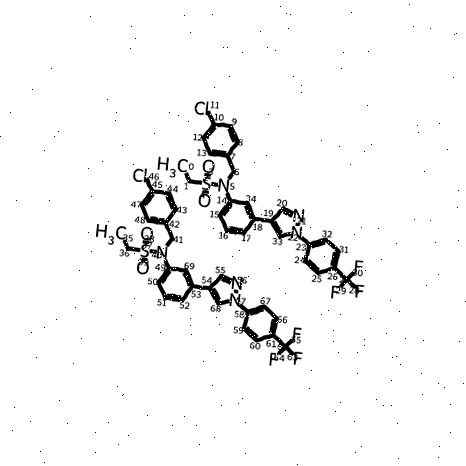 CCS(=O)(=O)N(Cc1ccc(Cl)cc1)c1cccc(-c2cnn(-c3ccc(C(F)(F)F)cc3)c2)c1.CCS(=O)(=O)N(Cc1ccc(Cl)cc1)c1cccc(-c2cnn(-c3ccc(C(F)(F)F)cc3)c2)c1